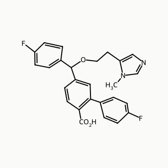 Cn1cncc1CCOC(c1ccc(F)cc1)c1ccc(C(=O)O)c(-c2ccc(F)cc2)c1